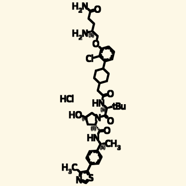 Cc1ncsc1-c1ccc([C@H](C)NC(=O)[C@@H]2C[C@@H](O)CN2C(=O)[C@@H](NC(=O)CC2CCC(c3cccc(OC[C@@H](N)CCC(N)=O)c3Cl)CC2)C(C)(C)C)cc1.Cl